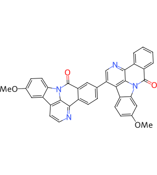 COc1ccc2c(c1)c1ccnc3c4ccc(-c5cnc6c7ccccc7c(=O)n7c8cc(OC)ccc8c5c67)cc4c(=O)n2c13